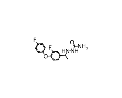 CC(NNC(N)=O)c1ccc(Oc2ccc(F)cc2)c(F)c1